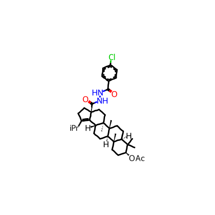 CC(=O)O[C@H]1CC[C@]2(C)[C@H]3CC[C@@H]4C5=C(C(C)C)CC[C@]5(C(=O)NNC(=O)c5ccc(Cl)cc5)CC[C@@]4(C)[C@]3(C)CC[C@H]2C1(C)C